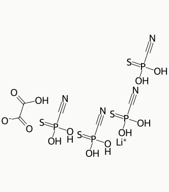 N#CP(O)(O)=S.N#CP(O)(O)=S.N#CP(O)(O)=S.N#CP(O)(O)=S.O=C([O-])C(=O)O.[Li+]